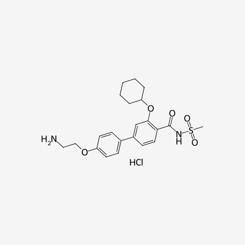 CS(=O)(=O)NC(=O)c1ccc(-c2ccc(OCCN)cc2)cc1OC1CCCCC1.Cl